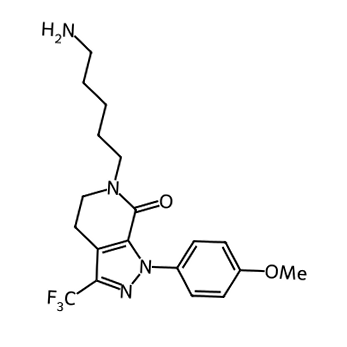 COc1ccc(-n2nc(C(F)(F)F)c3c2C(=O)N(CCCCCN)CC3)cc1